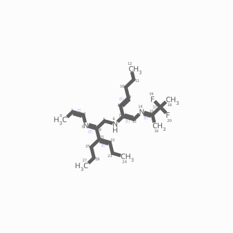 C\C=C/N=C(CNC(/C=C/CCC)=C/N=C(\C)C(C)(F)F)/C(=C/CC)CCC